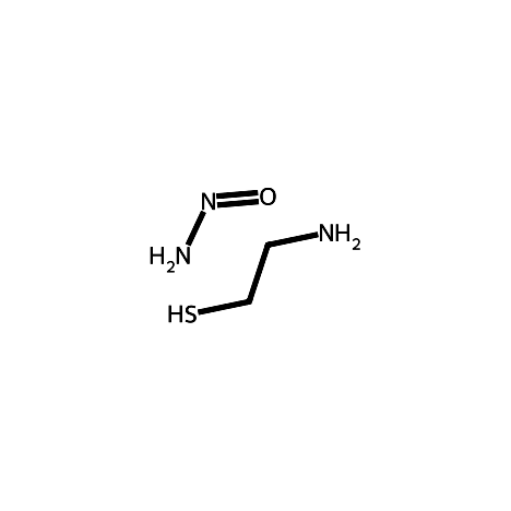 NCCS.NN=O